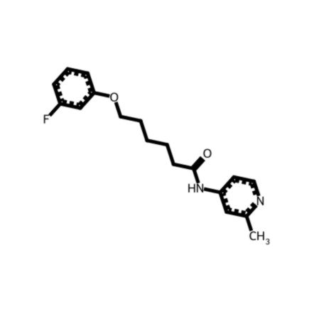 Cc1cc(NC(=O)CCCCCOc2cccc(F)c2)ccn1